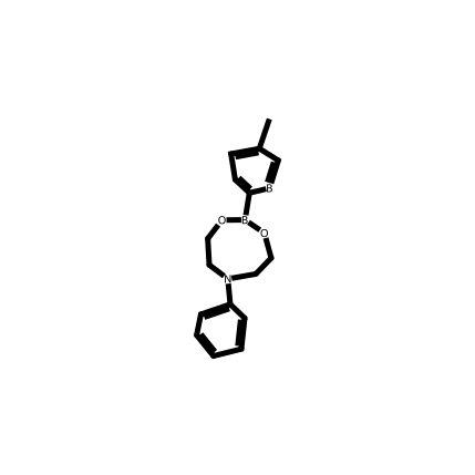 Cc1cbc(B2OCCN(c3ccccc3)CCO2)cc1